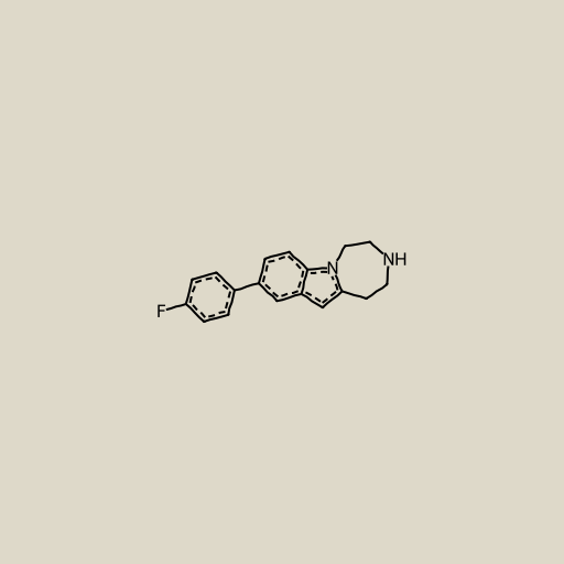 Fc1ccc(-c2ccc3c(c2)cc2n3CCNCC2)cc1